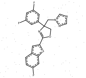 Fc1cc(F)cc(C2(Cn3cncn3)COC(c3cc4ccc(F)cc4s3)=N2)c1